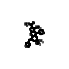 CC1(C)C/C(=C\c2ccoc2)c2nc3sc(C(N)=O)c(N)c3c(-c3ccoc3)c2C1